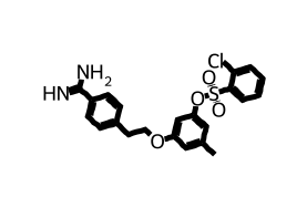 Cc1cc(OCCc2ccc(C(=N)N)cc2)cc(OS(=O)(=O)c2ccccc2Cl)c1